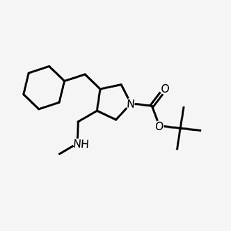 CNCC1CN(C(=O)OC(C)(C)C)CC1CC1CCCCC1